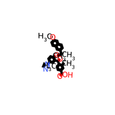 COc1ccc2cc([C@H](C)C(=O)OC(c3cc(-n4ccnc4)ccc3C)c3c(C)cc(C(=O)O)cc3C)ccc2c1